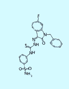 NS(=O)(=O)c1cccc(NC(=S)NN=C2C(=O)N(Cc3ccccc3)c3cc(F)ccc32)c1